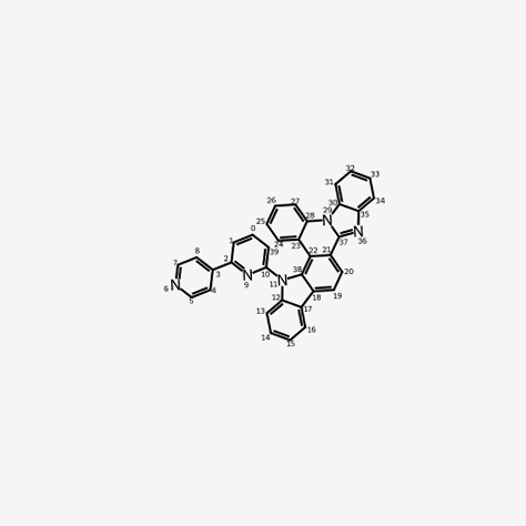 c1cc(-c2ccncc2)nc(-n2c3ccccc3c3ccc4c(c5ccccc5n5c6ccccc6nc45)c32)c1